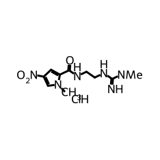 CNC(=N)NCCNC(=O)c1cc([N+](=O)[O-])cn1C.Cl